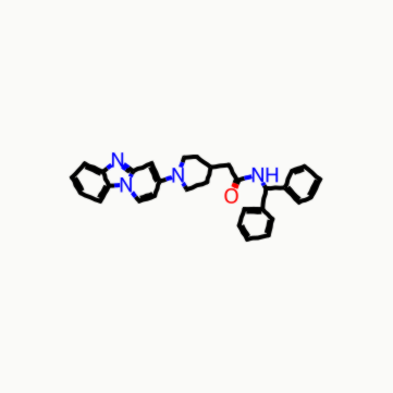 O=C(CC1CCN(c2ccn3c(c2)nc2ccccc23)CC1)NC(c1ccccc1)c1ccccc1